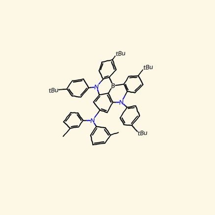 Cc1cccc(N(c2cccc(C)c2)c2cc3c4c(c2)N(c2ccc(C(C)(C)C)cc2)c2ccc(C(C)(C)C)cc2B4c2cc(C(C)(C)C)ccc2N3c2ccc(C(C)(C)C)cc2)c1